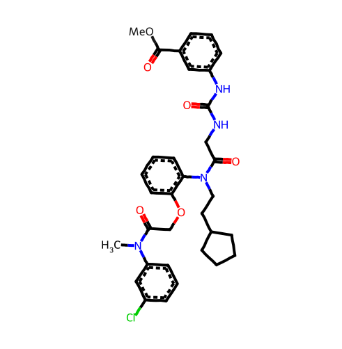 COC(=O)c1cccc(NC(=O)NCC(=O)N(CCC2CCCC2)c2ccccc2OCC(=O)N(C)c2cccc(Cl)c2)c1